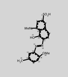 CNc1cc(S(=O)(=O)O)cc2ccc(N=Nc3cc(C)ccc3OC)c(O)c12